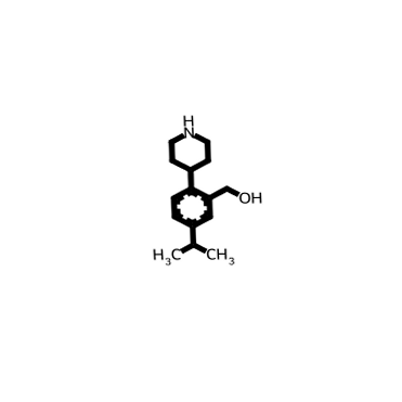 CC(C)c1ccc(C2CCNCC2)c(CO)c1